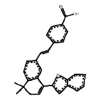 CC1(C)CC=C(c2cc3ccccc3o2)c2cc(C=Cc3ccc(C(=O)O)cc3)ccc21